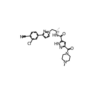 C[C@@H](Cn1ccc(-c2ccc(C#N)c(Cl)c2)n1)NC(=O)c1cc(C(=O)N2CCN(C)CC2)n[nH]1